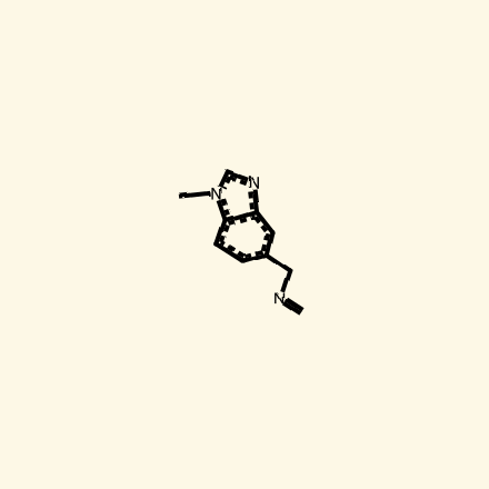 C=NCc1ccc2c(c1)ncn2C